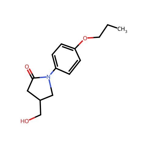 CCCOc1ccc(N2CC(CO)CC2=O)cc1